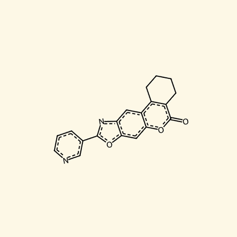 O=c1oc2cc3oc(-c4cccnc4)nc3cc2c2c1CCCC2